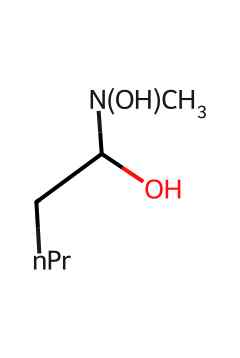 CCCCC(O)N(C)O